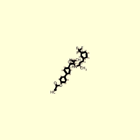 C#CC(=O)Oc1ccc(-c2ccc(-c3onc(C)c3N[C@@H](C)CCc3cccc(C(F)(F)F)c3)cc2)cc1